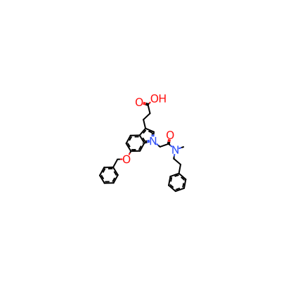 CN(CCc1ccccc1)C(=O)Cn1cc(CCC(=O)O)c2ccc(OCc3ccccc3)cc21